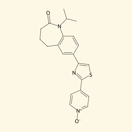 CC(C)N1C(=O)CCCc2cc(-c3csc(-c4cc[n+]([O-])cc4)n3)ccc21